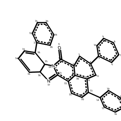 O=c1c2cc(-c3ccccc3)cc3c(-c4ccccc4)ccc(c4n1C1C(c5ccccc5)=CC=CC1N=4)c32